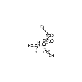 O=C(O)C(CO)NCc1cc(Cl)c(OCc2cccc(-c3cccc4c3cnn4CCCCN3CCCC3)c2Br)cc1OCC(=O)N1CCC(O)C1